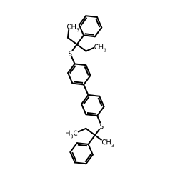 CCC(C)(Sc1ccc(-c2ccc(SC(CC)(CC)c3ccccc3)cc2)cc1)c1ccccc1